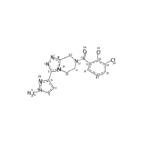 Cn1ccc(-c2nnc3n2CCN(C(=O)c2cccc(Cl)c2Cl)C3)n1